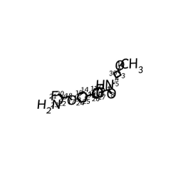 CO[C@H]1C[C@H](CNC(=O)C23CCC(c4ccc(OC/C(=C/F)CN)cc4)(CC2)CC3)C1